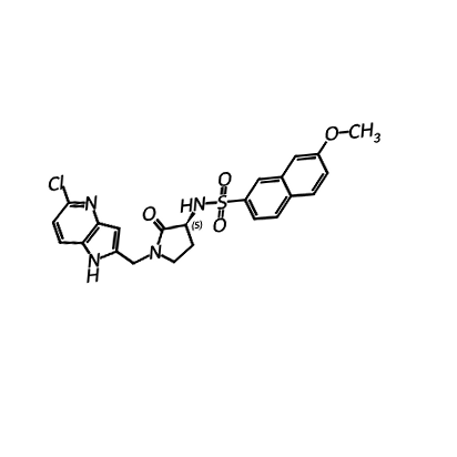 COc1ccc2ccc(S(=O)(=O)N[C@H]3CCN(Cc4cc5nc(Cl)ccc5[nH]4)C3=O)cc2c1